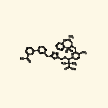 Cc1ccc(C(OCc2cn(Cc3cccc(-c4cccc(C(=O)O)c4)c3)nn2)C(C)(C)C(=O)O)cc1CN1C[C@@H](C)Oc2ccccc2S1(=O)=O